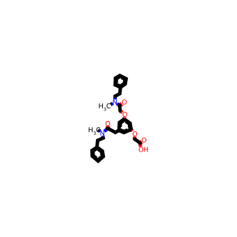 CN(CCc1ccccc1)C(=O)COc1cc(CC(=O)N(C)CCc2ccccc2)cc(OCC(=O)O)c1